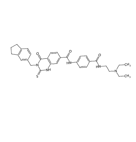 CCN(CC)CCNC(=O)c1ccc(NC(=O)c2ccc3c(=O)n(Cc4ccc5c(c4)CCC5)c(=S)[nH]c3c2)cc1